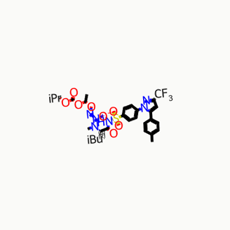 CC[C@@H](C)[C@@H](C(=O)NS(=O)(=O)c1ccc(-n2nc(C(F)(F)F)cc2-c2ccc(C)cc2)cc1)N(C)[N+]([O-])=NOC(C)OC(=O)OC(C)C